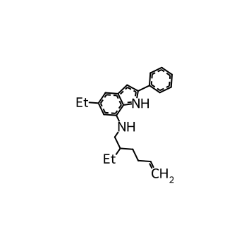 C=CCCC(CC)CNc1cc(CC)cc2cc(-c3ccccc3)[nH]c12